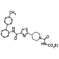 CCOC(=O)NC(=O)N1CCC(c2nc(C(=O)Nc3ccccc3-c3ccc(C)cc3)cs2)CC1